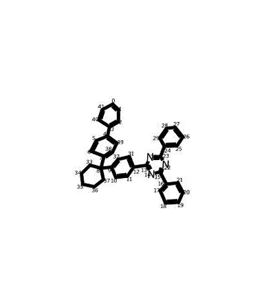 c1ccc(-c2ccc(C3(c4ccc(-c5nc(-c6ccccc6)nc(-c6ccccc6)n5)cc4)CCCCC3)cc2)cc1